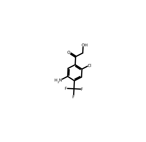 Nc1cc(C(=O)CO)c(Cl)cc1C(F)(F)F